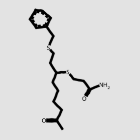 CC(=O)CCCCC(CCSCc1ccccc1)SCCC(N)=O